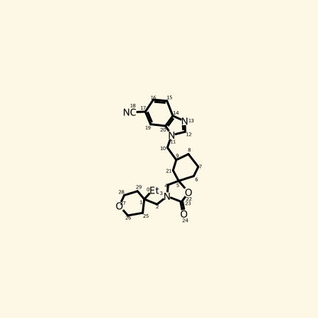 CCC1(CN2CC3(CCCC(Cn4cnc5ccc(C#N)cc54)C3)OC2=O)CCOCC1